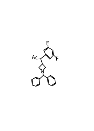 CC(=O)[C@H](c1cc(F)cc(F)c1)C1CN(C(c2ccccc2)c2ccccc2)C1